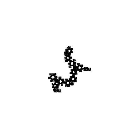 CC(C)(C)c1ccc2c(c1)c1cc(-c3ccc4sc5ccc(-c6ccc7c(c6)c6cc(C(C)(C)C)ccc6n7-c6ccc(-c7ccc8sc9ccccc9c8c7)cc6)cc5c4c3)ccc1n2-c1ccccc1